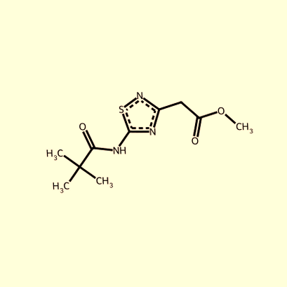 COC(=O)Cc1nsc(NC(=O)C(C)(C)C)n1